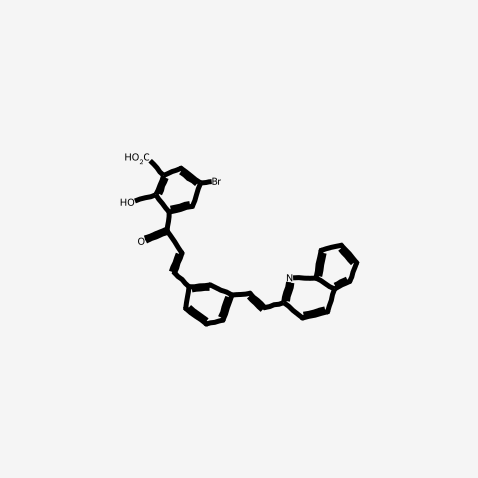 O=C(O)c1cc(Br)cc(C(=O)C=Cc2cccc(C=Cc3ccc4ccccc4n3)c2)c1O